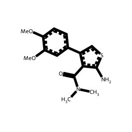 COc1ccc(-c2csc(N)c2C(=O)N(C)C)cc1OC